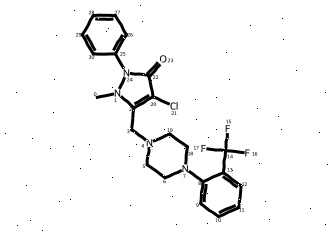 Cn1c(CN2CCN(c3ccccc3C(F)(F)F)CC2)c(Cl)c(=O)n1-c1ccccc1